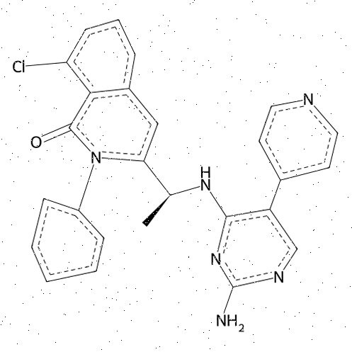 C[C@H](Nc1nc(N)ncc1-c1ccncc1)c1cc2cccc(Cl)c2c(=O)n1-c1ccccc1